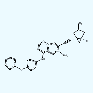 CN1C[C@H]2C[C@@]2(C#Cc2cc3ncnc(Nc4ccc(Oc5ccccc5)cc4)c3cc2N)C1